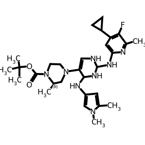 Cc1nc(NC2NC=C(N3CCN(C(=O)OC(C)(C)C)[C@H](C)C3)C(Nc3cc(C)n(C)c3)N2)cc(C2CC2)c1F